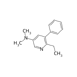 CCc1ncc(N(C)C)cc1-c1ccccc1